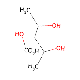 CC(O)CC(C)O.O=C(O)O